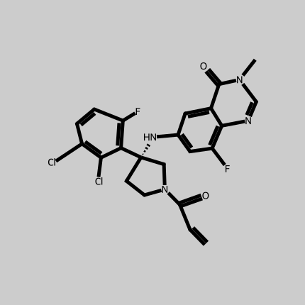 C=CC(=O)N1CC[C@@](Nc2cc(F)c3ncn(C)c(=O)c3c2)(c2c(F)ccc(Cl)c2Cl)C1